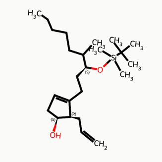 C=CC[C@@H]1C(CC[C@H](O[Si](C)(C)C(C)(C)C)C(C)CCCCC)=CC[C@@H]1O